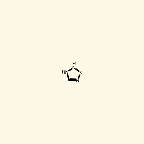 C1=NSNN1